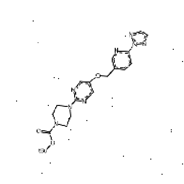 CC(C)(C)OC(=O)N1CCN(c2ncc(OCc3ccc(-n4nccn4)nc3)cn2)CC1